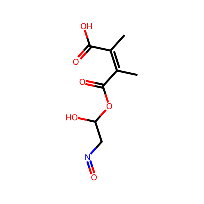 C/C(C(=O)O)=C(\C)C(=O)OC(O)CN=O